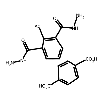 CC(=O)c1c(C(=O)NN)cccc1C(=O)NN.O=C(O)c1ccc(C(=O)O)cc1